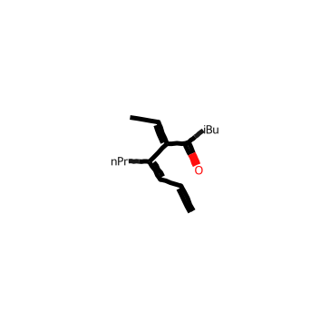 C=C/C=C(CCC)\C(=C/C)C(=O)C(C)CC